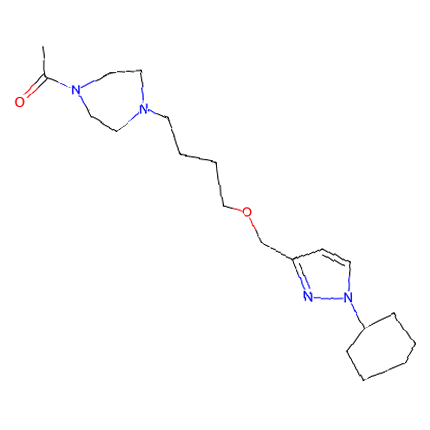 CC(=O)N1CCN(CCCCOCc2ccn(C3CCCCC3)n2)CC1